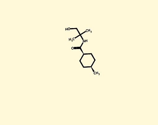 CC(C)(CO)NC(=O)[C@H]1CC[C@@H](C)CC1